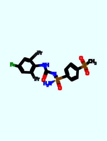 CC(C)c1cc(F)cc(C(C)C)c1NC(=O)N=[S@](N)(=O)c1ccc(S(C)(=O)=O)cc1